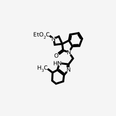 CCOC(=O)N1CC2(C1)C(=O)N(Cc1nc3c([nH]1)C(C)CCC3)c1ccccc12